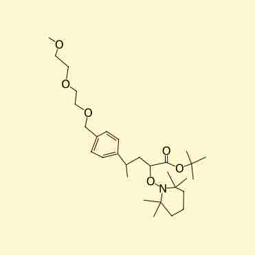 COCCOCCOCc1ccc(C(C)CC(ON2C(C)(C)CCCC2(C)C)C(=O)OC(C)(C)C)cc1